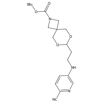 CC(C)(C)OC(=O)N1CC2(COC(CCNc3ccc(C#N)nc3)OC2)C1